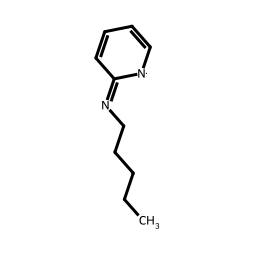 CCCCC/N=C1/C=CC=C[N]1